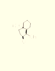 CC1=C2CCCCC2(C)CCC1=O